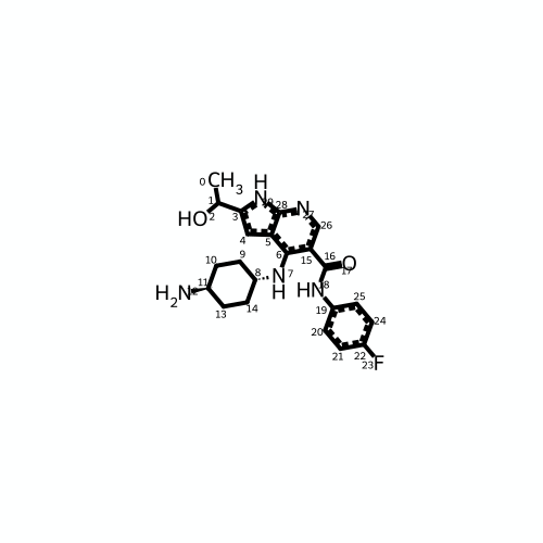 CC(O)c1cc2c(N[C@H]3CC[C@H](N)CC3)c(C(=O)Nc3ccc(F)cc3)cnc2[nH]1